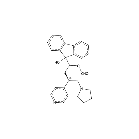 O=COC(C[C@@H](CN1CCCC1)c1ccncc1)C1(O)c2ccccc2-c2ccccc21